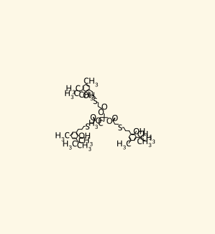 CCC(COC(=O)CCSCCCc1cc(C)cc(C(C)(C)C)c1O)(COC(=O)CCSCCCc1cc(C)cc(C(C)(C)C)c1O)COC(=O)CCSCCCc1cc(C)cc(C(C)(C)C)c1O